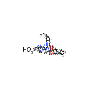 CCCc1ccc(CNC(=O)[C@H]2CN(c3cnc(C(=O)O)cn3)CCN2S(=O)(=O)c2ccc(-c3ccccc3)cc2)cc1